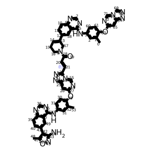 Cc1cc(Nc2ncnc3ccc(C4=CCCN(C(=O)/C=C/c5nnc6cc(Oc7ccc(Nc8ncnc9ccc(-c%10c(N)noc%10C)cc89)cc7C)ncn56)C4)cc23)ccc1Oc1cc2nncn2cn1